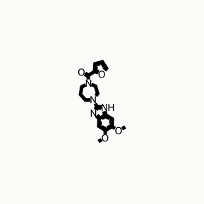 COc1cc2nc(N3CCCN(C(=O)c4ccco4)CC3)[nH]c2cc1OC